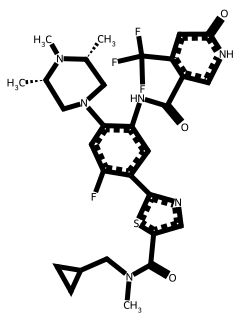 C[C@@H]1CN(c2cc(F)c(-c3ncc(C(=O)N(C)CC4CC4)s3)cc2NC(=O)c2c[nH]c(=O)cc2C(F)(F)F)C[C@H](C)N1C